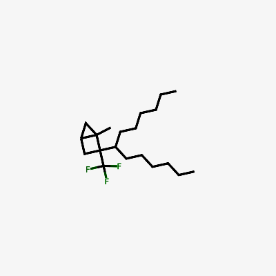 CCCCCCC(CCCCCC)C1(C(F)(F)F)CC2CC21C